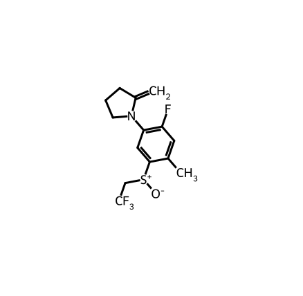 C=C1CCCN1c1cc([S+]([O-])CC(F)(F)F)c(C)cc1F